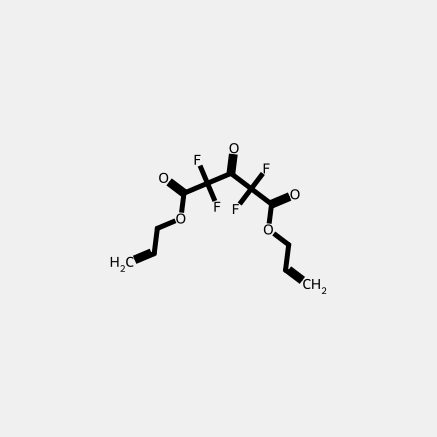 C=CCOC(=O)C(F)(F)C(=O)C(F)(F)C(=O)OCC=C